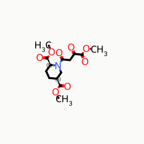 COC(=O)C(=O)CC(=O)N1C[C@@H](C(=O)OC)CC[C@H]1C(=O)OC